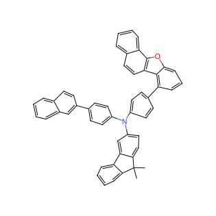 CC1(C)c2ccccc2-c2cc(N(c3ccc(-c4ccc5ccccc5c4)cc3)c3ccc(-c4cccc5oc6c7ccccc7ccc6c45)cc3)ccc21